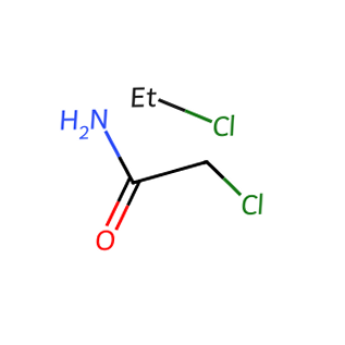 CCCl.NC(=O)CCl